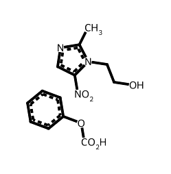 Cc1ncc([N+](=O)[O-])n1CCO.O=C(O)Oc1ccccc1